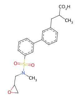 CC(Cc1cccc(-c2cccc(S(=O)(=O)N(C)CC3CO3)c2)c1)C(=O)O